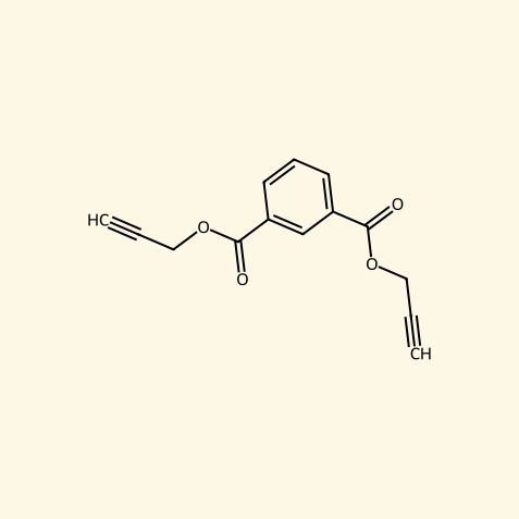 C#CCOC(=O)c1cccc(C(=O)OCC#C)c1